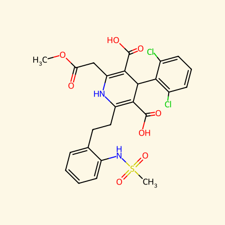 COC(=O)CC1=C(C(=O)O)C(c2c(Cl)cccc2Cl)C(C(=O)O)=C(CCc2ccccc2NS(C)(=O)=O)N1